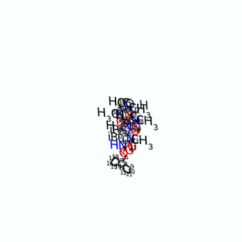 CC[C@H](C)[C@H](NC(=O)OCC1c2ccccc2-c2ccccc21)C(=O)N(C)[C@@H](CC(C)C)C(=O)N(C)[C@@H](CC(=O)N(C)[C@@H](CC(=O)O)C(=O)N(C)C)C(=O)N(C)C